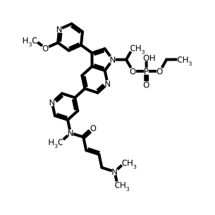 CCOP(=O)(O)OC(C)n1cc(-c2ccnc(OC)c2)c2cc(-c3cncc(N(C)C(=O)/C=C/CN(C)C)c3)cnc21